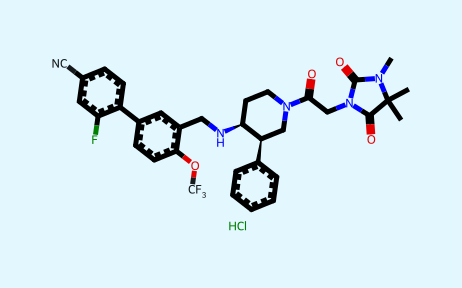 CN1C(=O)N(CC(=O)N2CC[C@H](NCc3cc(-c4ccc(C#N)cc4F)ccc3OC(F)(F)F)[C@H](c3ccccc3)C2)C(=O)C1(C)C.Cl